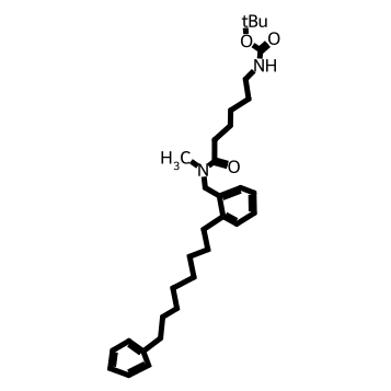 CN(Cc1ccccc1CCCCCCCCc1ccccc1)C(=O)CCCCCNC(=O)OC(C)(C)C